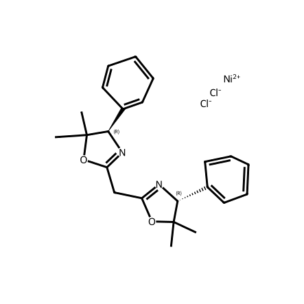 CC1(C)OC(CC2=N[C@H](c3ccccc3)C(C)(C)O2)=N[C@@H]1c1ccccc1.[Cl-].[Cl-].[Ni+2]